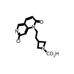 O=C(O)N1CC(CCn2c(=O)ccc3cnc(Cl)cc32)C1